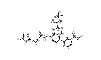 COC(=O)c1cccc(-c2ccc(CNC(=O)[C@H]3C[C@H]3c3nc(C)no3)c3c2CCN(C(=O)NC(C)(C)C)C3)c1